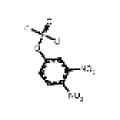 O=[N+]([O-])c1ccc(OP(=O)(Cl)Cl)cc1[N+](=O)[O-]